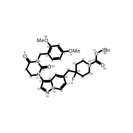 COc1ccc(CN2C(=O)CCN(c3cnn4ccc(CC5(F)CCN(C(=O)OC(C)(C)C)CC5)cc34)C2=O)c(OC)c1